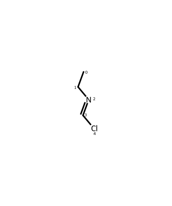 CC/N=C/Cl